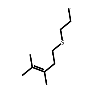 [CH2]CCSCCC(C)=C(C)C